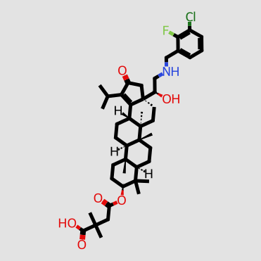 CC(C)C1=C2[C@H]3CC[C@@H]4[C@@]5(C)CC[C@H](OC(=O)CC(C)(C)C(=O)O)C(C)(C)[C@@H]5CC[C@@]4(C)[C@]3(C)CC[C@@]2([C@H](O)CNCc2cccc(Cl)c2F)CC1=O